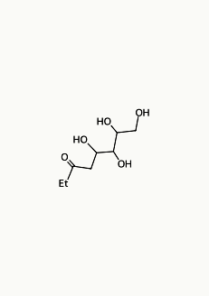 CCC(=O)CC(O)C(O)C(O)CO